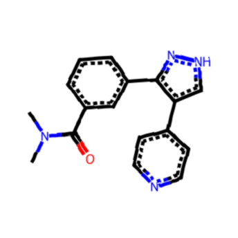 CN(C)C(=O)c1cccc(-c2n[nH]cc2-c2ccncc2)c1